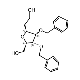 OCC[C@@H]1O[C@H](CO)[C@@H](OCc2ccccc2)[C@@H]1OCc1ccccc1